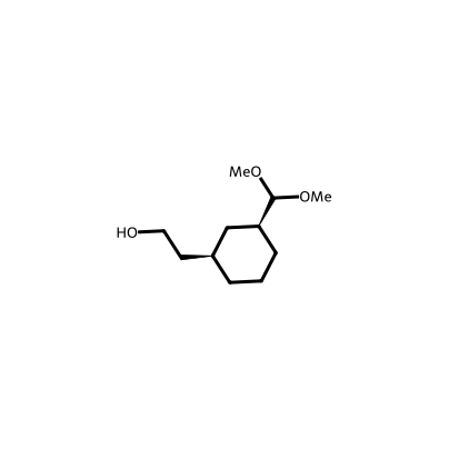 COC(OC)[C@H]1CCC[C@@H](CCO)C1